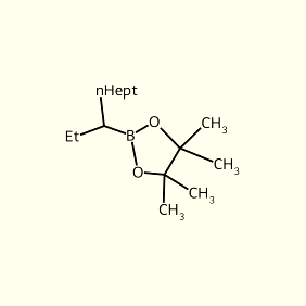 CCCCCCCC(CC)B1OC(C)(C)C(C)(C)O1